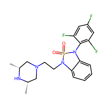 C[C@@H]1CN(CCN2c3ccccc3N(c3c(F)cc(F)cc3F)S2(=O)=O)C[C@H](C)N1